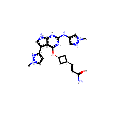 Cn1cc(Nc2nc(O[C@H]3C[C@H](C=CC(N)=O)C3)c3c(-c4ccn(C)n4)c[nH]c3n2)cn1